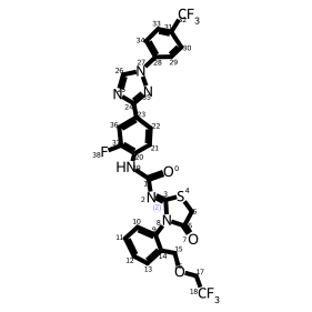 O=C(/N=C1\SCC(=O)N1c1ccccc1COCC(F)(F)F)Nc1ccc(-c2ncn(-c3ccc(C(F)(F)F)cc3)n2)cc1F